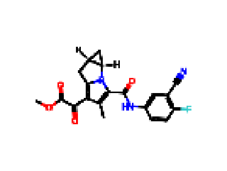 COC(=O)C(=O)c1c(C)c(C(=O)Nc2ccc(F)c(C#N)c2)n2c1C[C@H]1C[C@H]12